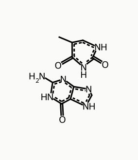 Cc1c[nH]c(=O)[nH]c1=O.Nc1nc2nc[nH]c2c(=O)[nH]1